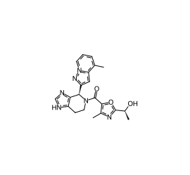 Cc1nc([C@H](C)O)oc1C(=O)N1CCc2[nH]cnc2[C@H]1c1cc2c(C)cccn2n1